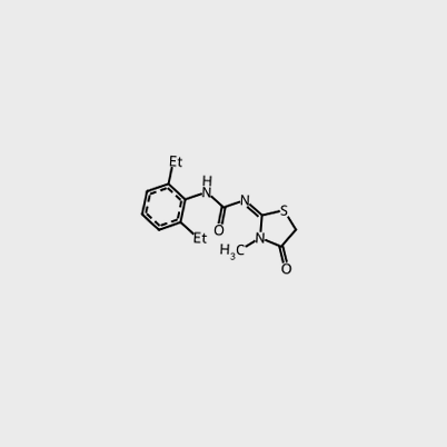 CCc1cccc(CC)c1NC(=O)N=C1SCC(=O)N1C